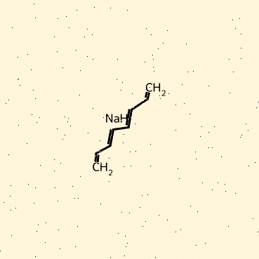 C=CC=CC=CC=C.[NaH]